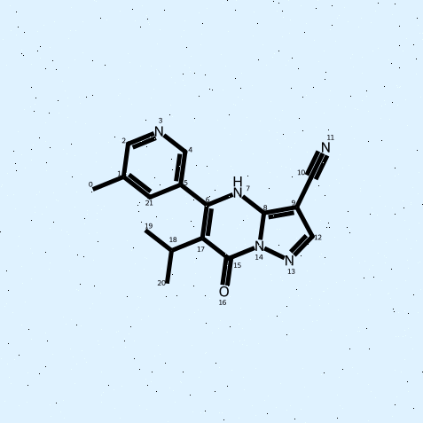 Cc1cncc(-c2[nH]c3c(C#N)cnn3c(=O)c2C(C)C)c1